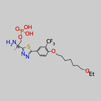 CCOCCCCCCCOc1ccc(-c2nnc([C@@](C)(N)COP(=O)(O)O)s2)cc1C(F)(F)F